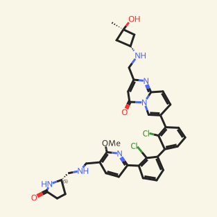 COc1nc(-c2cccc(-c3cccc(-c4ccc5nc(CN[C@H]6C[C@](C)(O)C6)cc(=O)n5c4)c3Cl)c2Cl)ccc1CNC[C@@H]1CCC(=O)N1